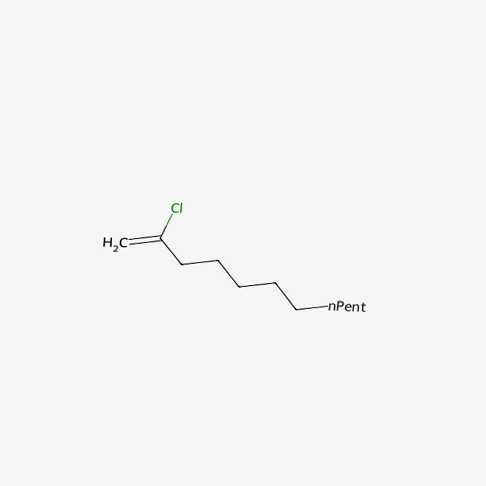 C=C(Cl)CCCCCCCCCC